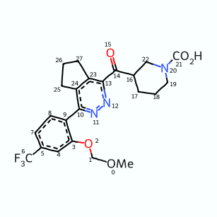 COCOc1cc(C(F)(F)F)ccc1-c1nnc(C(=O)C2CCCN(C(=O)O)C2)c2c1CCC2